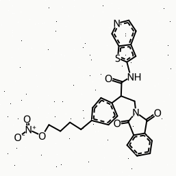 O=C(Nc1cc2ccncc2s1)C(CN1C(=O)c2ccccc2C1=O)c1ccc(CCCCO[N+](=O)[O-])cc1